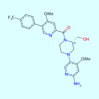 COc1cc(C(=O)N2CCN(c3cnc(N)cc3OC)C[C@H]2CO)ncc1-c1ccc(C(F)(F)F)cc1